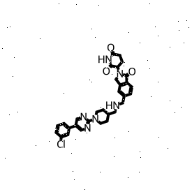 O=C1CCC(N2Cc3cc(CNCC4CCN(c5ncc(-c6cccc(Cl)c6)cn5)CC4)ccc3C2=O)C(=O)N1